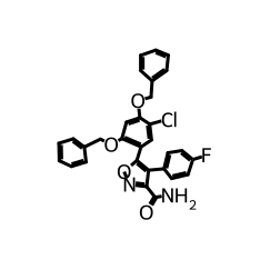 NC(=O)c1noc(-c2cc(Cl)c(OCc3ccccc3)cc2OCc2ccccc2)c1-c1ccc(F)cc1